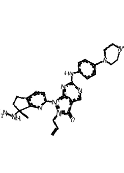 C=CCn1c(=O)c2cnc(Nc3ccc(N4CCN(C)CC4)cc3)nc2n1-c1ccc2c(n1)C(C)(NN)CC2